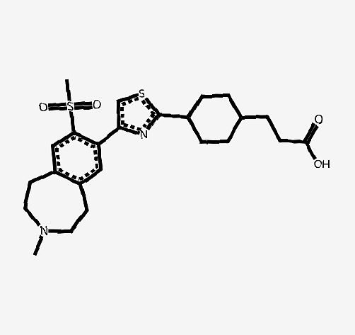 CN1CCc2cc(-c3csc(C4CCC(CCC(=O)O)CC4)n3)c(S(C)(=O)=O)cc2CC1